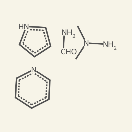 CN(C)N.NC=O.c1cc[nH]c1.c1ccncc1